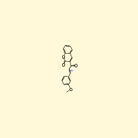 COc1cccc(/C=C/C(=O)c2cc3ccccc3oc2=O)c1